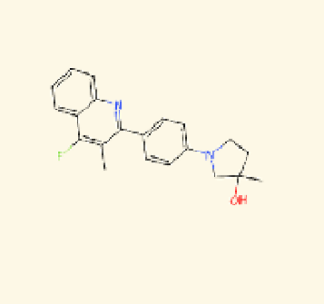 Cc1c(-c2ccc(N3CCC(C)(O)C3)cc2)nc2ccccc2c1F